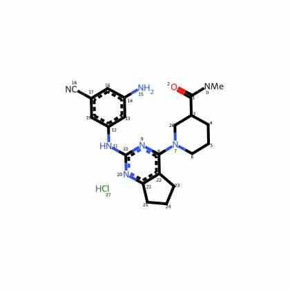 CNC(=O)C1CCCN(c2nc(Nc3cc(N)cc(C#N)c3)nc3c2CCC3)C1.Cl